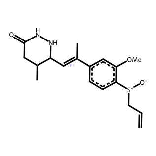 C=CC[S+]([O-])c1ccc(/C(C)=C/C2NNC(=O)CC2C)cc1OC